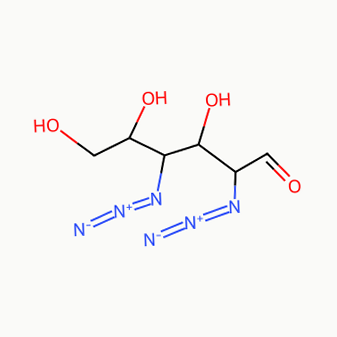 [N-]=[N+]=NC(C=O)C(O)C(N=[N+]=[N-])C(O)CO